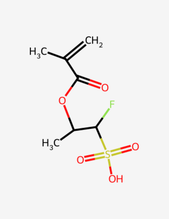 C=C(C)C(=O)OC(C)C(F)S(=O)(=O)O